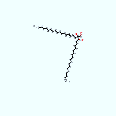 CCCCCCCCCCCCCCCCCCC(O)C(O)(CO)CCCCCCCCCCCCCCCCCC